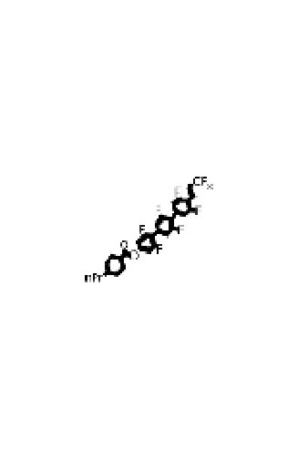 CCCC1CCC(C(=O)Oc2cc(F)c(-c3cc(F)c(-c4cc(F)c(/C=C/C(F)(F)F)c(F)c4)c(F)c3)c(F)c2)CC1